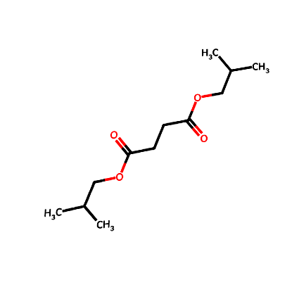 CC(C)COC(=O)CCC(=O)OCC(C)C